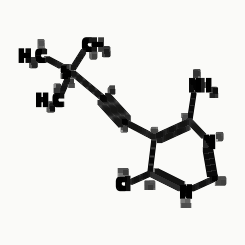 C[Si](C)(C)C#Cc1c(N)ncnc1Cl